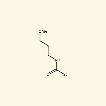 CCC(=O)NCCCOC